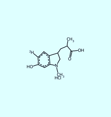 Cl.[2H]c1cc2c(cc1O)N(C)CC2CC(C)C(=O)O